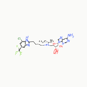 CC(C)N(CCCCc1nc2cc(C(F)(F)F)cc(Cl)c2[nH]1)C[C@H]1OC(n2cnc3c(N)ncnc32)[C@H](O)[C@@H]1O